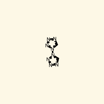 c1nnnn1-n1cnnn1